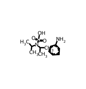 CC(C)N(C(C)C)S(=O)(=O)O.Nc1ccccc1